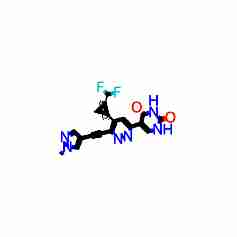 Cn1cc(C#Cc2nnc(-c3c[nH]c(=O)[nH]c3=O)cc2[C@H]2C[C@@H]2C(F)F)cn1